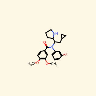 COc1ccc(C(=O)N(c2cccc(Br)c2)C(CC2CC2)C2CCCN2)cc1OC